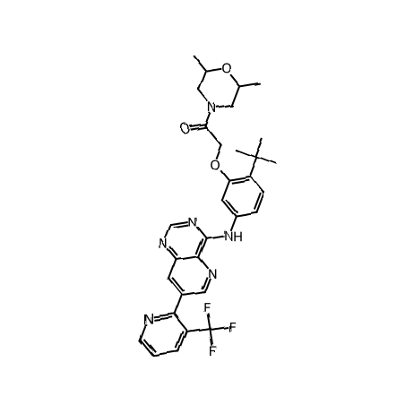 CC1CN(C(=O)COc2cc(Nc3ncnc4cc(-c5ncccc5C(F)(F)F)cnc34)ccc2C(C)(C)C)CC(C)O1